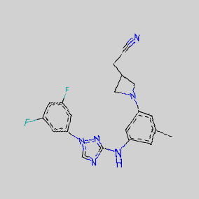 Cc1cc(Nc2ncn(-c3cc(F)cc(F)c3)n2)cc(N2CC(CC#N)C2)c1